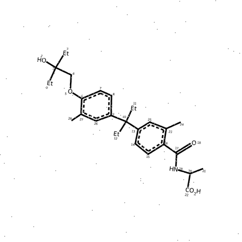 CCC(O)(CC)COc1ccc(C(CC)(CC)c2ccc(C(=O)NC(C)C(=O)O)c(C)c2)cc1C